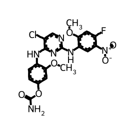 COc1cc(F)c([N+](=O)[O-])cc1Nc1ncc(Cl)c(Nc2ccc(OC(N)=O)cc2OC)n1